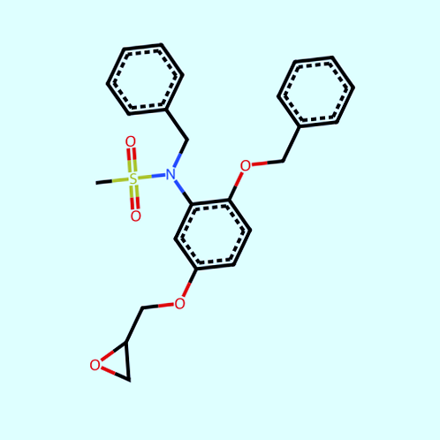 CS(=O)(=O)N(Cc1ccccc1)c1cc(OCC2CO2)ccc1OCc1ccccc1